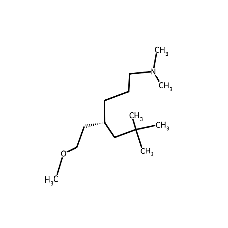 COCC[C@H](CCCN(C)C)CC(C)(C)C